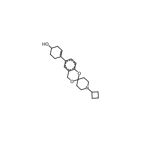 OC1CC=C(c2ccc3c(c2)COC2(CCN(C4CCC4)CC2)O3)CC1